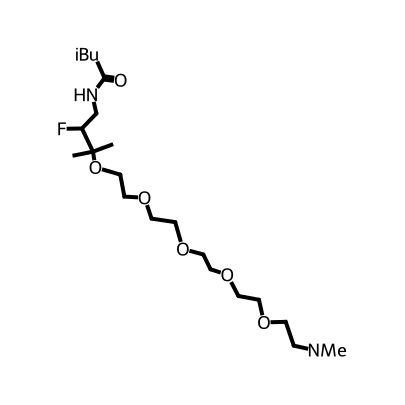 CCC(C)C(=O)NCC(F)C(C)(C)OCCOCCOCCOCCOCCNC